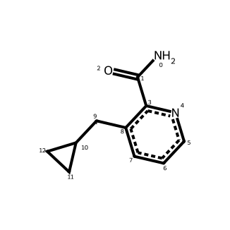 NC(=O)c1ncccc1[CH]C1CC1